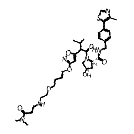 Cc1ncsc1-c1ccc(CNC(=O)[C@@H]2C[C@@H](O)CN2C(=O)C(c2cc(OCCCCOCCNCCC(=O)N(C)C)no2)C(C)C)cc1